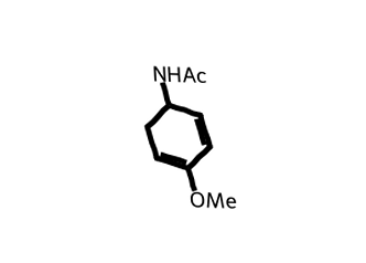 COC1=CCC(NC(C)=O)C=C1